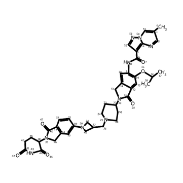 Cc1cnc2c(C(=O)Nc3cc4c(cc3OC(C)C)C(=O)N(C3CCN(CC5CN(c6ccc7c(c6)CN(C6CCC(=O)NC6=O)C7=O)C5)CC3)C4)cnn2c1